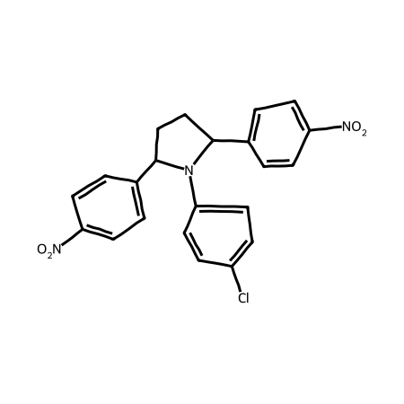 O=[N+]([O-])c1ccc(C2CCC(c3ccc([N+](=O)[O-])cc3)N2c2ccc(Cl)cc2)cc1